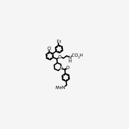 CCc1cccc(-c2c(Cl)cccc2C(OCCNC(=O)O)C2CCCN(C(=O)c3ccc(CNC)cc3)C2)c1